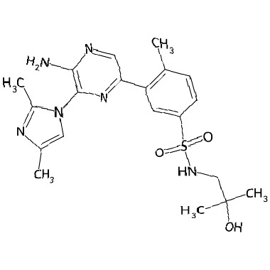 Cc1cn(-c2nc(-c3cc(S(=O)(=O)NCC(C)(C)O)ccc3C)cnc2N)c(C)n1